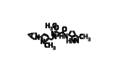 COc1nn(Cc2ccc(N3CC4CC4C3)nc2C)cc1C(=O)N[C@@H]1CCc2c(C)n[nH]c21